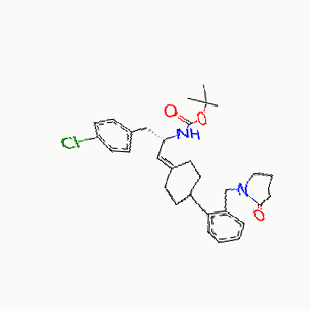 CC(C)(C)OC(=O)N[C@H](C=C1CCC(c2ccccc2CN2CCCC2=O)CC1)Cc1ccc(Cl)cc1